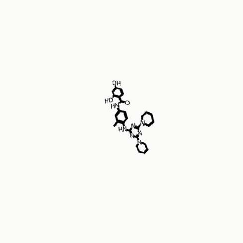 Cc1cc(NC(=O)c2ccc(O)cc2O)ccc1Nc1nc(N2CCCCC2)nc(N2CCCCC2)n1